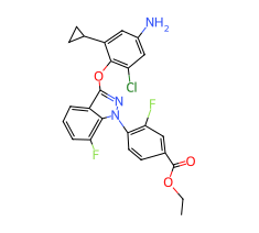 CCOC(=O)c1ccc(-n2nc(Oc3c(Cl)cc(N)cc3C3CC3)c3cccc(F)c32)c(F)c1